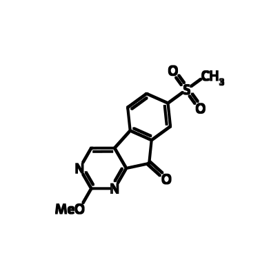 COc1ncc2c(n1)C(=O)c1cc(S(C)(=O)=O)ccc1-2